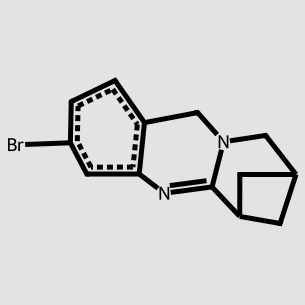 Brc1ccc2c(c1)N=C1C3CC(C3)CN1C2